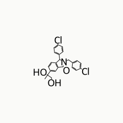 CC(O)(CO)c1ccc2c(c1)C(=O)N(Cc1ccc(Cl)cc1)C2c1ccc(Cl)cc1